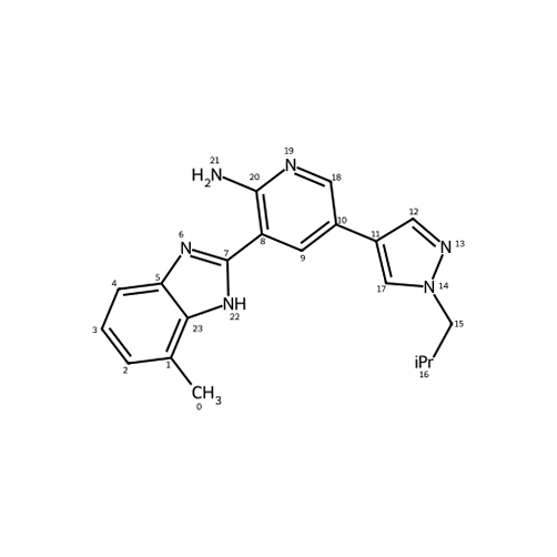 Cc1cccc2nc(-c3cc(-c4cnn(CC(C)C)c4)cnc3N)[nH]c12